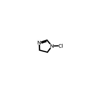 ClN1C=NCC1